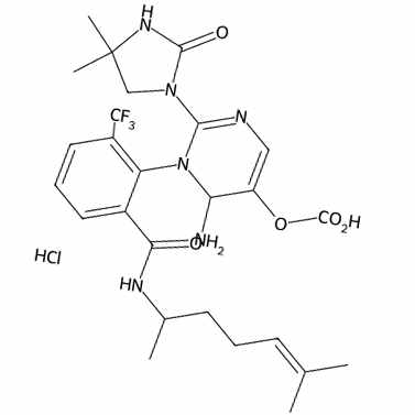 CC(C)=CCCC(C)NC(=O)c1cccc(C(F)(F)F)c1N1C(N2CC(C)(C)NC2=O)=NC=C(OC(=O)O)C1N.Cl